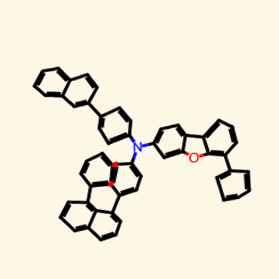 c1ccc(-c2cccc3c2oc2cc(N(c4ccc(-c5ccc6ccccc6c5)cc4)c4ccc(-c5cccc6cccc(-c7ccccc7)c56)cc4)ccc23)cc1